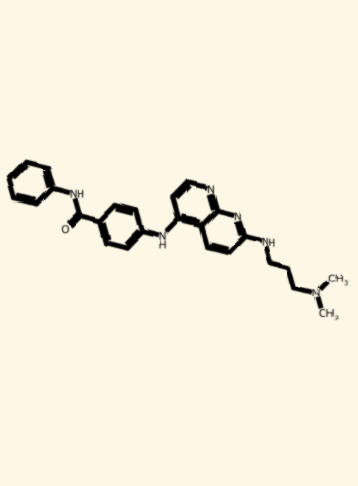 CN(C)CCCNc1ccc2c(Nc3ccc(C(=O)Nc4ccccc4)cc3)ccnc2n1